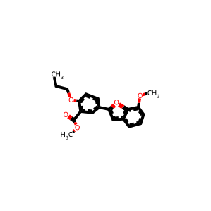 CCCOc1ccc(-c2cc3cccc(OC)c3o2)cc1C(=O)OC